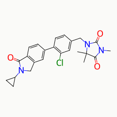 CN1C(=O)N(Cc2ccc(-c3ccc4c(c3)CN(C3CC3)C4=O)c(Cl)c2)C(C)(C)C1=O